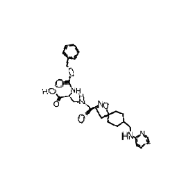 O=C(N[C@@H](CNC(=O)C1=NOC2(CCC(CNc3ccccn3)CC2)C1)C(=O)O)OCc1ccccc1